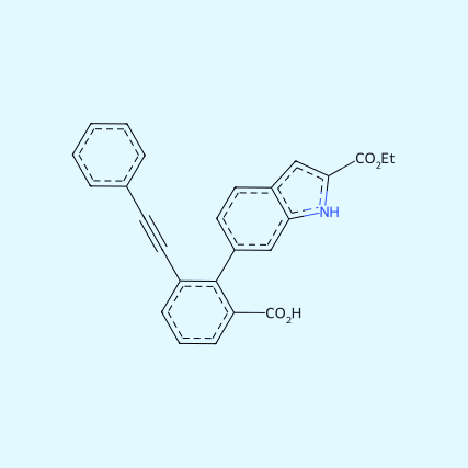 CCOC(=O)c1cc2ccc(-c3c(C#Cc4ccccc4)cccc3C(=O)O)cc2[nH]1